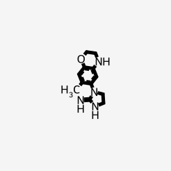 Cc1cc2c(cc1N1CCNC1=N)NCCO2